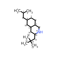 CC(C)CC1CCC2CNC(CC(C)(C)C)CC2C1